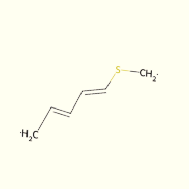 [CH2]C=CC=CS[CH2]